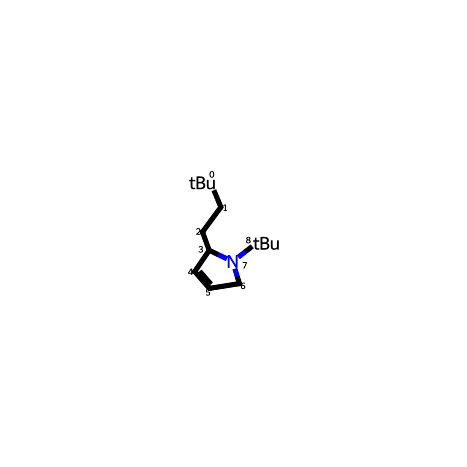 CC(C)(C)CCC1C=CCN1C(C)(C)C